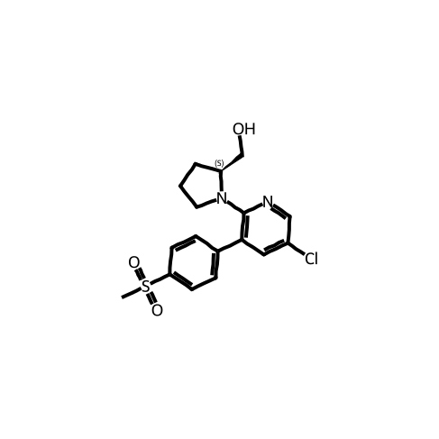 CS(=O)(=O)c1ccc(-c2cc(Cl)cnc2N2CCC[C@H]2CO)cc1